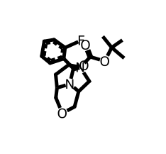 CC(C)(C)OC(=O)N1CCC2COCC(C1)N2C(=O)c1ccccc1F